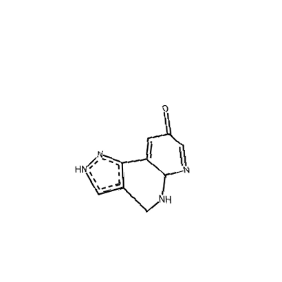 O=C1C=NC2NCc3c[nH]nc3C2=C1